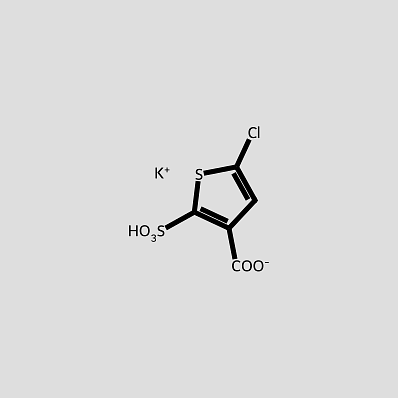 O=C([O-])c1cc(Cl)sc1S(=O)(=O)O.[K+]